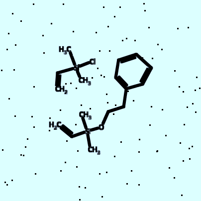 C=C[Si](C)(C)Cl.C=C[Si](C)(C)OCCc1ccccc1